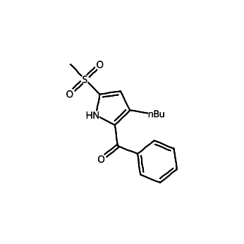 CCCCc1cc(S(C)(=O)=O)[nH]c1C(=O)c1ccccc1